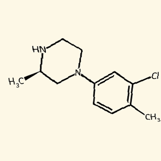 Cc1ccc(N2CCN[C@H](C)C2)cc1Cl